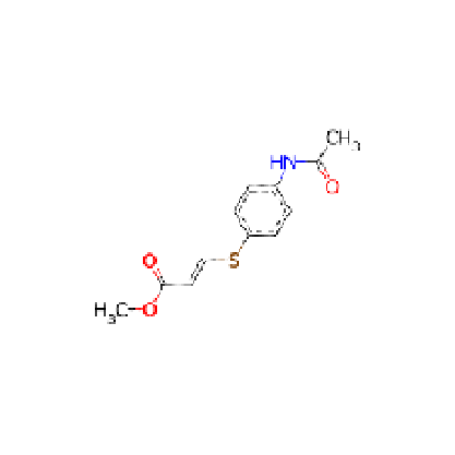 COC(=O)/C=C/Sc1ccc(NC(C)=O)cc1